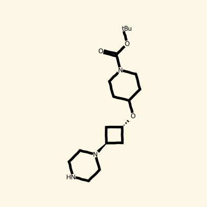 CC(C)(C)OC(=O)N1CCC(O[C@H]2C[C@H](N3CCNCC3)C2)CC1